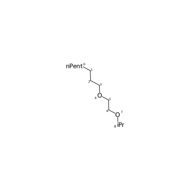 CCCCCCCCOCCOC(C)C